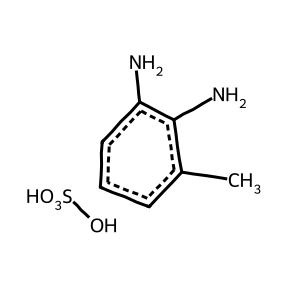 Cc1cccc(N)c1N.O=S(=O)(O)O